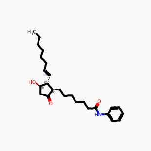 CCCCCC/C=C/[C@H]1[C@H](O)CC(=O)[C@@H]1CCCCCCC(=O)Nc1ccccc1